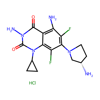 Cl.Nc1c(F)c(N2CC[C@H](N)C2)c(F)c2c1c(=O)n(N)c(=O)n2C1CC1